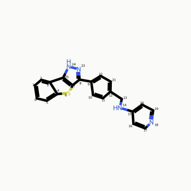 c1ccc2c(c1)sc1c(-c3ccc(CNc4ccncc4)cc3)n[nH]c12